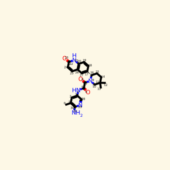 Cc1cc(NC(=O)C(=O)N2CC(C)(C)CC[C@H]2c2ccc3[nH]c(=O)ccc3c2)cnc1N